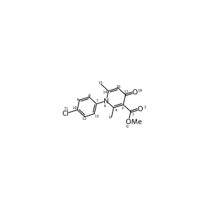 COC(=O)c1c(C)n(-c2ccc(Cl)cc2)c(C)cc1=O